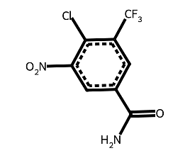 NC(=O)c1cc([N+](=O)[O-])c(Cl)c(C(F)(F)F)c1